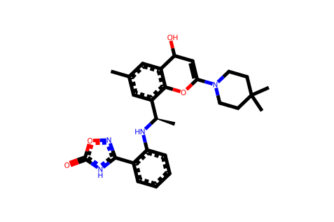 Cc1cc2c(c([C@@H](C)Nc3ccccc3-c3noc(=O)[nH]3)c1)OC(N1CCC(C)(C)CC1)=CC2O